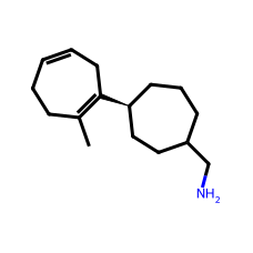 CC1=C([C@H]2CCCC(CN)CC2)CC=CCC1